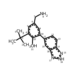 CC(C)(C)c1cc(CN)cc(-c2ccc3n[nH]nc3c2)c1O